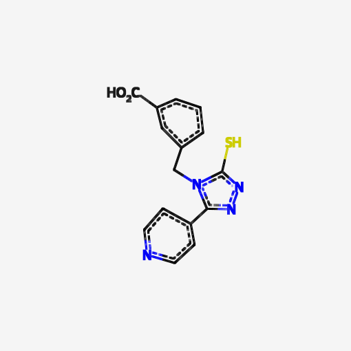 O=C(O)c1cccc(Cn2c(S)nnc2-c2ccncc2)c1